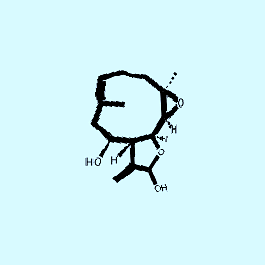 C=C1C(O)O[C@H]2[C@H]1[C@@H](O)C/C(C)=C/CC[C@@]1(C)O[C@@H]21